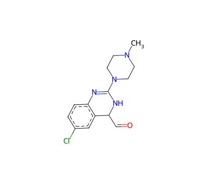 CN1CCN(C2=Nc3ccc(Cl)cc3C(C=O)N2)CC1